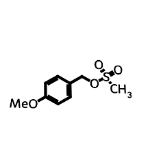 COc1ccc(COS(C)(=O)=O)cc1